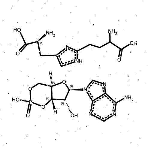 NC(CCc1nc(C[C@H](N)C(=O)O)c[nH]1)C(=O)O.Nc1ncnc2c1ncn2[C@@H]1O[C@@H]2COP(=O)(O)O[C@H]2[C@H]1O